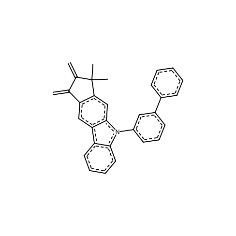 C=C1C(=C)C(C)(C)c2cc3c(cc21)c1ccccc1n3-c1cccc(-c2ccccc2)c1